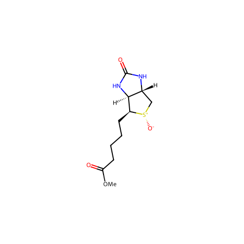 COC(=O)CCCC[C@H]1[C@H]2NC(=O)N[C@@H]2C[S@+]1[O-]